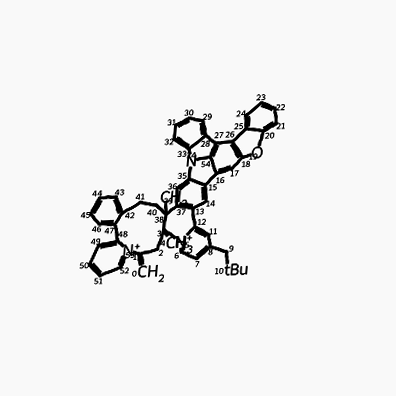 C=C1CC2(C)[n+]3ccc(CC(C)(C)C)cc3-c3cc4c5cc6oc7ccccc7c6c6c7ccccc7n(c4cc3C2(C)CCc2ccccc2-c2cccc[n+]21)c56